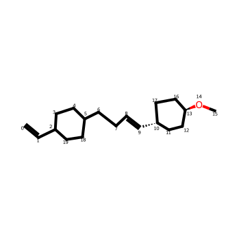 C=CC1CCC(CCC=C[C@H]2CC[C@H](OC)CC2)CC1